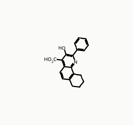 O=C(O)c1c(O)c(-c2ccccc2)nc2c3c(ccc12)CCCC3